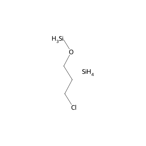 [SiH3]OCCCCl.[SiH4]